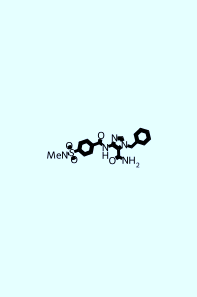 CNS(=O)(=O)c1ccc(C(=O)Nc2ncn(Cc3ccccc3)c2C(N)=O)cc1